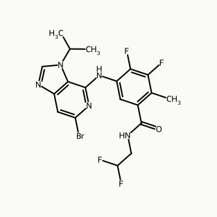 Cc1c(C(=O)NCC(F)F)cc(Nc2nc(Br)cc3ncn(C(C)C)c23)c(F)c1F